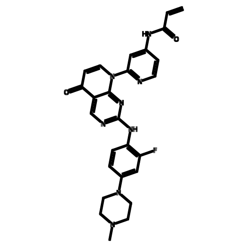 C=CC(=O)Nc1ccnc(-n2ccc(=O)c3cnc(Nc4ccc(N5CCN(C)CC5)cc4F)nc32)c1